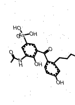 CCCCc1cc(O)ccc1C(=O)c1cc([As](=O)(O)O)cc(NC(C)=O)c1O